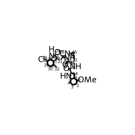 COc1cccc2[nH]c(C(=O)N[C@@H](CC3CC3)C(=O)N[C@H](C#N)C[C@H]3C(=O)Nc4c(Cl)ccc(C)c43)cc12